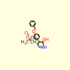 CC(C)(C)OC=O.O[C@H]1CNCC[C@@H]1c1ccc(OCc2ccccc2)cc1